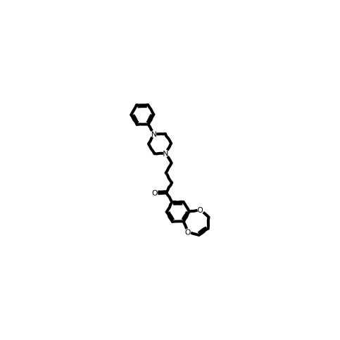 O=C(CCCN1CCN(c2ccccc2)CC1)c1ccc2c(c1)OCC=CO2